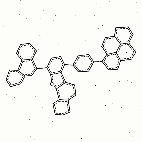 c1ccc2c(c1)cc(-c1ccc(-c3ccc(-c4ccc5ccc6cccc7ccc4c5c67)cc3)c3c1oc1c4ccccc4ccc13)c1ccccc12